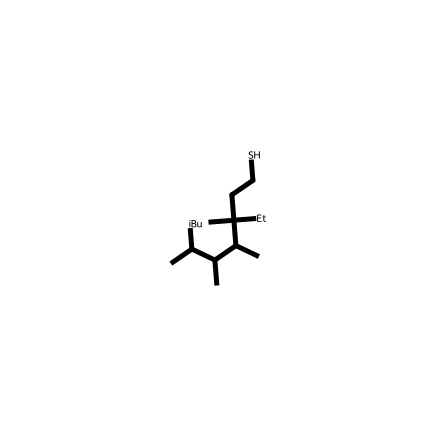 CCC(C)C(C)C(C)C(C)C(C)(CC)CCS